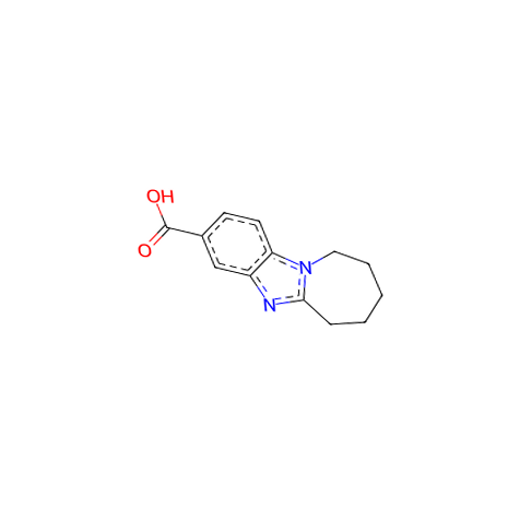 O=C(O)c1ccc2c(c1)nc1n2CCCCC1